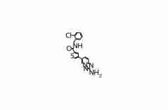 Nc1nc2ccc(-c3csc(C(=O)NCc4ccccc4Cl)c3)cn2n1